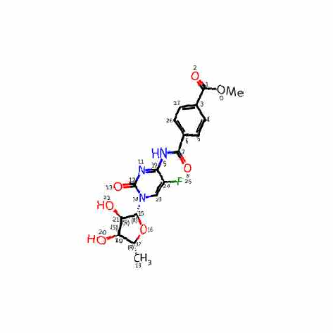 COC(=O)c1ccc(C(=O)Nc2nc(=O)n([C@@H]3O[C@H](C)[C@@H](O)[C@H]3O)cc2F)cc1